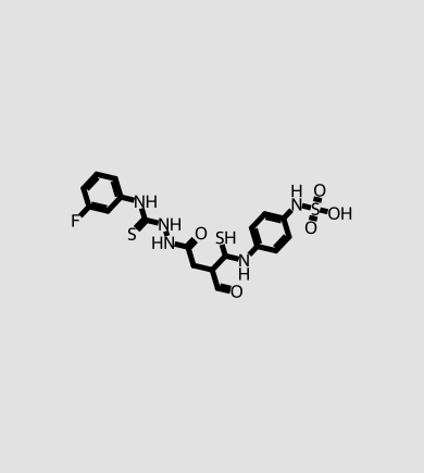 O=CC(CC(=O)NNC(=S)Nc1cccc(F)c1)C(S)Nc1ccc(NS(=O)(=O)O)cc1